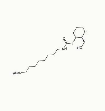 CCCCCCCCCCCCCCCCCCNC(=O)S[C@H]1CCCO[C@H]1CO